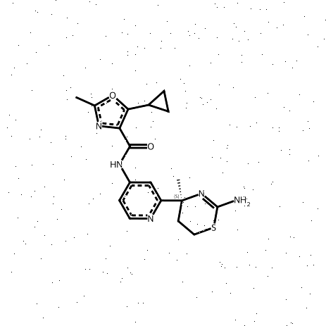 Cc1nc(C(=O)Nc2ccnc([C@]3(C)CCSC(N)=N3)c2)c(C2CC2)o1